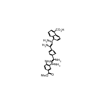 COC(=O)c1ccc(NC(C)=O)c(N(N)/C=C(\N)c2ccc(/C(N)=C/N(N)c3cccc4c(C(=O)O)cccc34)cc2)c1